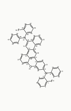 Fc1ccccc1N(c1ccccc1)c1ccc2c(c1)Oc1cccc3c1c-2cc1c2ccccc2c(N(c2ccccc2)c2ccccc2F)cc31